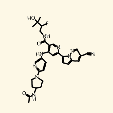 CC(=O)NC1CCN(c2ccc(Nc3cc(-c4ccc5cc(C#N)cnn45)ncc3C(=O)NCC(F)C(C)(C)O)cn2)CC1